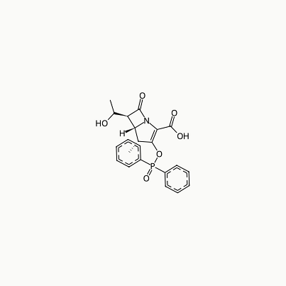 CC(O)[C@H]1C(=O)N2C(C(=O)O)=C(OP(=O)(c3ccccc3)c3ccccc3)[C@H](C)[C@H]12